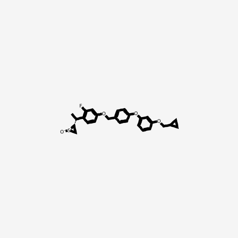 CC(c1ccc(OCc2ccc(Oc3cccc(OCC4CC4)c3)cc2)cc1F)[C@@H]1C[S+]1[O-]